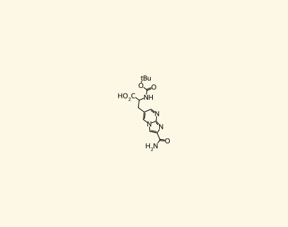 CC(C)(C)OC(=O)NC(Cc1cnc2nc(C(N)=O)cn2c1)C(=O)O